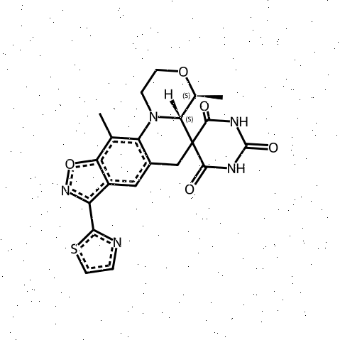 Cc1c2c(cc3c(-c4nccs4)noc13)CC1(C(=O)NC(=O)NC1=O)[C@H]1[C@H](C)OCCN21